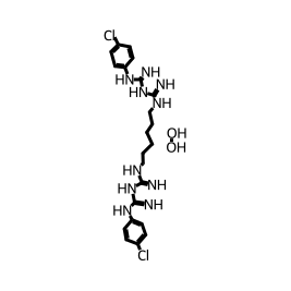 N=C(NCCCCCCNC(=N)NC(=N)Nc1ccc(Cl)cc1)NC(=N)Nc1ccc(Cl)cc1.OO